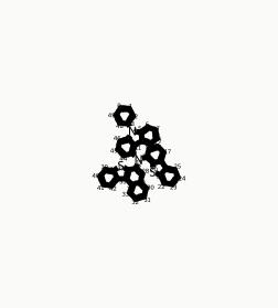 c1ccc(-n2c3ccccc3c3c(N(c4cccc5c4sc4ccccc45)c4cc5ccccc5c5c4sc4ccccc45)cccc32)cc1